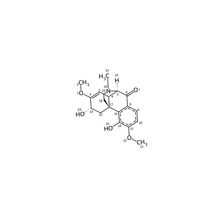 COC1=CC2[C@@H]3C(=O)c4ccc(OC)c(O)c4[C@]2(CCN3C)C[C@@H]1O